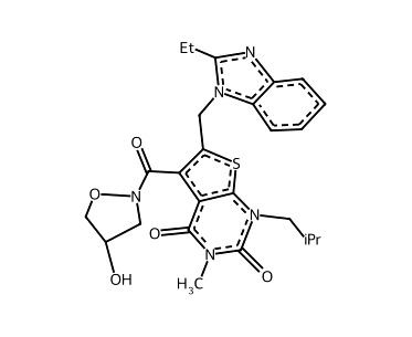 CCc1nc2ccccc2n1Cc1sc2c(c1C(=O)N1CC(O)CO1)c(=O)n(C)c(=O)n2CC(C)C